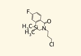 C[Si]1(C)CN(CCCCl)C(=O)c2ccc(F)cc21